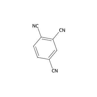 N#Cc1ccc(C#N)c(C#N)c1